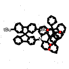 CC(C)(C)c1ccc2c(c1)C1(c3ccccc3-c3ccc(N(c4ccccc4-c4cccc5cccc(-c6ccccc6)c45)c4cccc5c4-c4ccccc4C5(c4ccccc4)c4ccccc4)cc31)c1cc(C(C)(C)C)ccc1-2